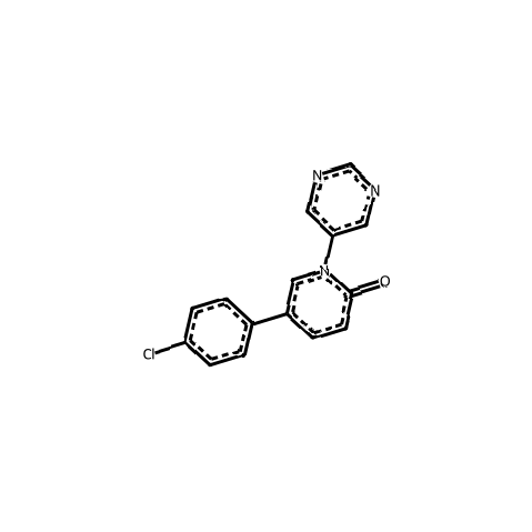 O=c1ccc(-c2ccc(Cl)cc2)cn1-c1cncnc1